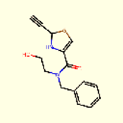 C#CC1NC(C(=O)N(CCO)Cc2ccccc2)=CS1